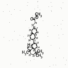 COC(=O)CCc1ccc2cc(-c3ccc4c(c3)C(C)(C)CCC4(C)C)ccc2c1